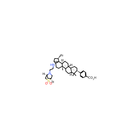 CC(C)[C@@H]1CC[C@]2(NCCN3C[C@@H]4C[C@H]3CS4(=O)=O)CC[C@]3(C)[C@H](CC[C@@H]4[C@@]5(C)CC[C@@H](c6ccc(C(=O)O)cc6)C(C)(C)[C@@H]5CC[C@]43C)[C@@H]12